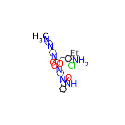 CCc1cc(C[C@@H](OC(=O)N2CCC(N3Cc4ccccc4NC3=O)CC2)C(=O)N2CCC(N3CC4CC3CN4C)CC2)cc(Cl)c1N